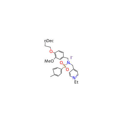 CCCCCCCCCCCCOc1ccc(CN(Cc2cc[n+](CC)cc2)S(=O)(=O)c2ccc(C)cc2)cc1OC.[I-]